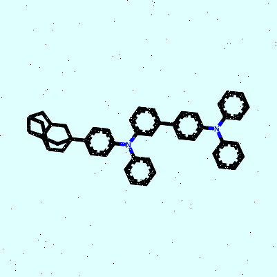 c1ccc(N(c2ccccc2)c2ccc(-c3cccc(N(c4ccccc4)c4ccc(C56CC7CC8CC(C5)C7C8C6)cc4)c3)cc2)cc1